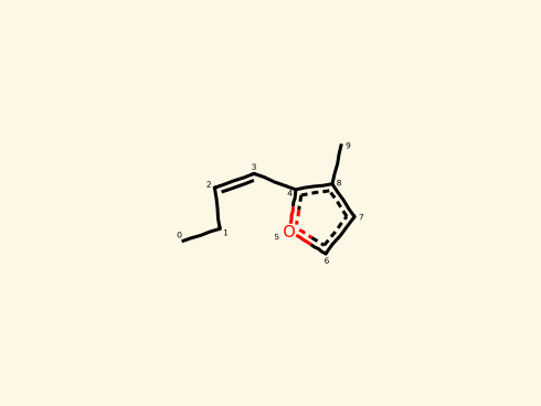 CC/C=C\c1occc1C